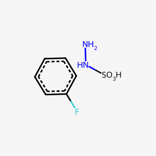 Fc1ccccc1.NNS(=O)(=O)O